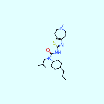 CCC[C@H]1CC[C@H](N(CC(C)C)C(=O)Nc2nc3c(s2)CCN(C)CC3)CC1